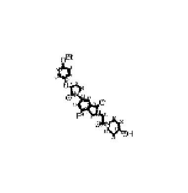 CCOc1ccc(O[C@@H]2CCN(c3cc(F)c4c(c3)C(=O)N(CC(=O)N3CCC(O)CC3)C4)C2=O)cn1